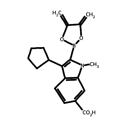 C=C1OB(c2c(C3CCCC3)c3ccc(C(=O)O)cc3n2C)OC1=C